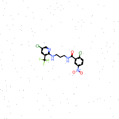 O=C(NCCCNc1ncc(Cl)cc1C(F)(F)F)c1cc([N+](=O)[O-])ccc1Cl